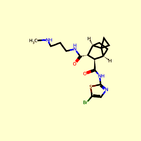 CNCCCNC(=O)[C@H]1[C@H](C(=O)Nc2ncc(Br)s2)[C@@H]2CC[C@H]1C21CC1